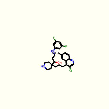 COc1ccc2ncc(Cl)c(CCCC3(C(O)CCNc4cc(F)cc(F)c4)CCNCC3)c2c1